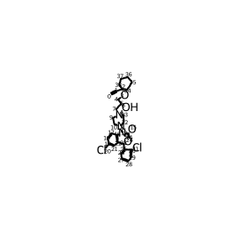 C#CC1(OCC(O)CN2CCN(N(C(C)=O)c3ccc(Cl)cc3C(=O)c3ccccc3Cl)CC2)CCCCC1